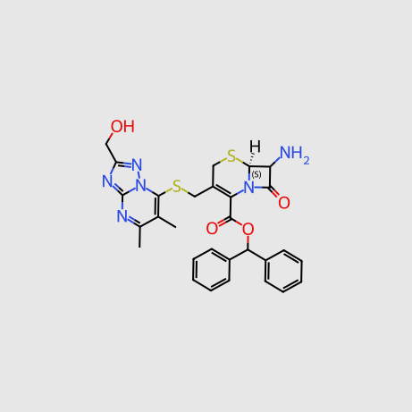 Cc1nc2nc(CO)nn2c(SCC2=C(C(=O)OC(c3ccccc3)c3ccccc3)N3C(=O)C(N)[C@@H]3SC2)c1C